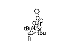 CC(OC(=O)OCc1ccccc1)[C@]1([SiH](C)C)C(=O)N(C(C)(C)C)[C@H]1/C(=C\O[SiH](C)C)C(C)(C)C